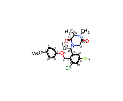 COc1ccc(OCc2c(Cl)cc(F)cc2[C@H](C)N2CC(=O)N(C)C(C)C2=O)cc1